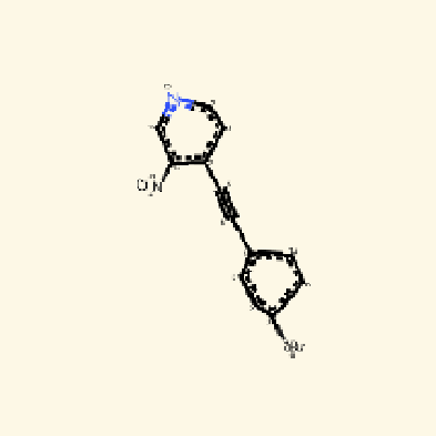 CC(C)(C)c1ccc(C#Cc2ccncc2[N+](=O)[O-])cc1